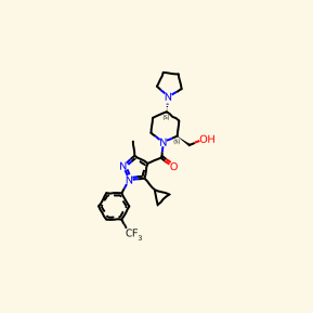 Cc1nn(-c2cccc(C(F)(F)F)c2)c(C2CC2)c1C(=O)N1CC[C@H](N2CCCC2)C[C@H]1CO